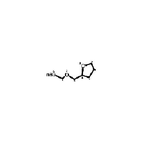 CCCCCOCC1CCCO1